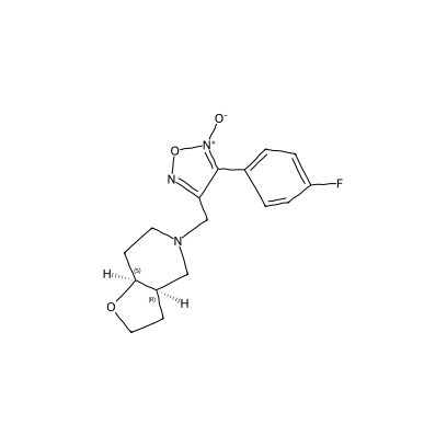 [O-][n+]1onc(CN2CC[C@@H]3OCC[C@@H]3C2)c1-c1ccc(F)cc1